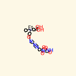 CC/C(=C(/c1ccc(OCCN2CCC(N3CCN(c4ccc5c(c4)C(=O)N(C4CCC(=O)NC4=O)C5=O)CC3)CC2)cc1)c1ccc(B(O)O)cc1)c1ccccc1